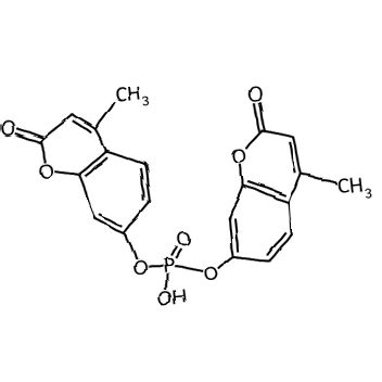 Cc1cc(=O)oc2cc(OP(=O)(O)Oc3ccc4c(C)cc(=O)oc4c3)ccc12